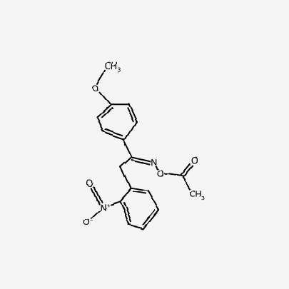 COc1ccc(C(Cc2ccccc2[N+](=O)[O-])=NOC(C)=O)cc1